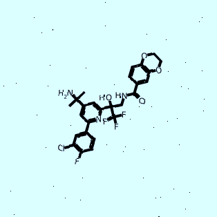 CC(C)(N)c1cc(-c2ccc(F)c(Cl)c2)nc(C(O)(CNC(=O)c2ccc3c(c2)OCCO3)C(F)(F)F)c1